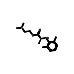 Cc1cccc(C)c1N[C@@H](C)C(=O)OCCN(C)C